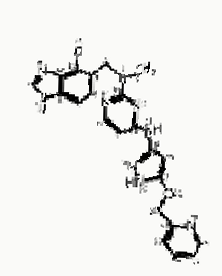 CN(Cc1ccc2[nH]cnc2c1Cl)c1nccc(Nc2cc(OCc3ccccn3)[nH]n2)n1